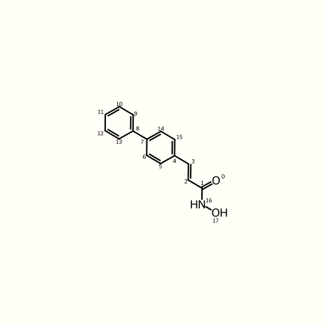 O=C(/C=C/c1ccc(-c2ccccc2)cc1)NO